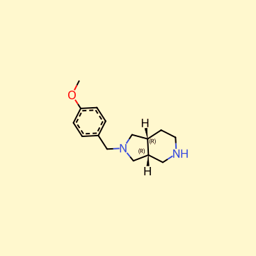 COc1ccc(CN2C[C@H]3CNCC[C@H]3C2)cc1